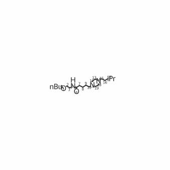 CCCCOCCNC(=O)CCCCN1CCN(CCC(C)C)CC1